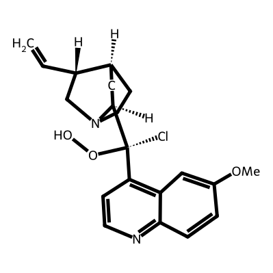 C=C[C@H]1CN2CC[C@H]1C[C@H]2[C@](Cl)(OO)c1ccnc2ccc(OC)cc12